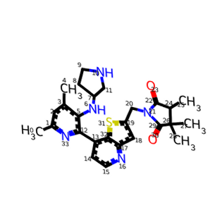 Cc1cc(C)c(NC2CCNC2)c(-c2ccnc3cc(CN4C(=O)C(C)C(C)(C)C4=O)sc23)n1